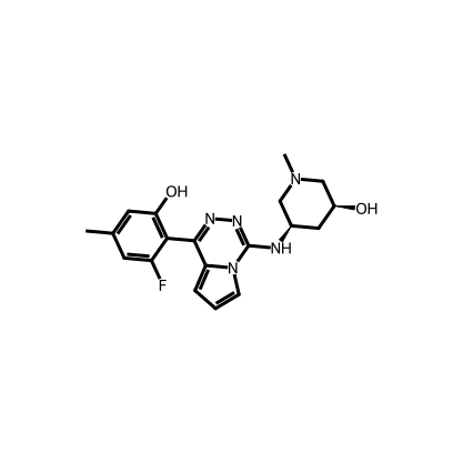 Cc1cc(O)c(-c2nnc(N[C@@H]3C[C@H](O)CN(C)C3)n3cccc23)c(F)c1